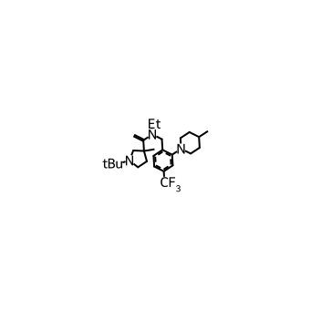 C=C(N(CC)Cc1ccc(C(F)(F)F)cc1N1CCC(C)CC1)C1(C)CCN(C(C)(C)C)C1